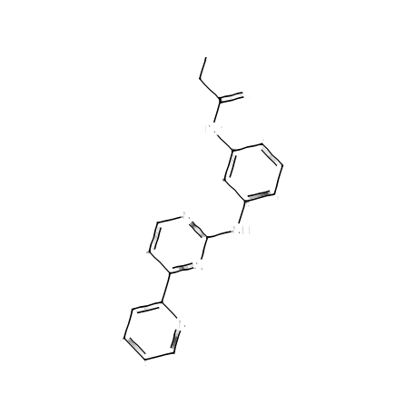 O=C(CCl)Nc1cccc(Nc2nccc(-c3ccccn3)n2)c1